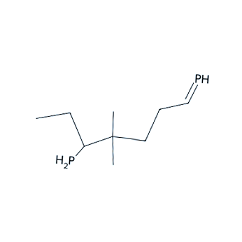 CCC(P)C(C)(C)CCC=P